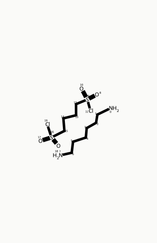 NCCCCCCN.O=S(=O)(Cl)CCCCS(=O)(=O)Cl